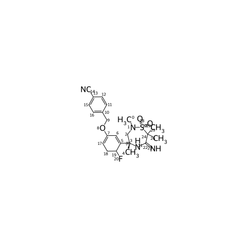 CN1C[C@@](C)(C2=CC(OCc3ccc(C#N)cc3)=CCC2F)NC(=N)C(C)(C)S1(=O)=O